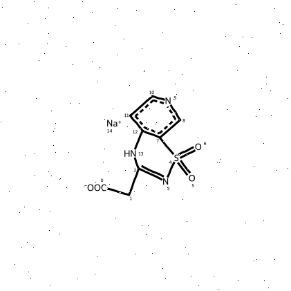 O=C([O-])CC1=NS(=O)(=O)c2cnccc2N1.[Na+]